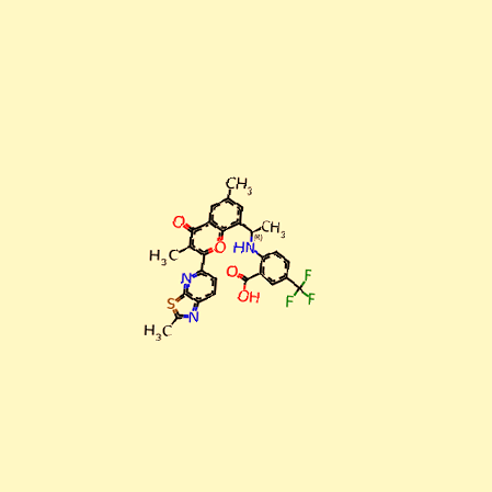 Cc1cc([C@@H](C)Nc2ccc(C(F)(F)F)cc2C(=O)O)c2oc(-c3ccc4nc(C)sc4n3)c(C)c(=O)c2c1